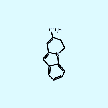 CCOC(=O)C1=Cc2cc3ccccc3n2CC1